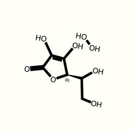 O=C1O[C@H](C(O)CO)C(O)=C1O.OO